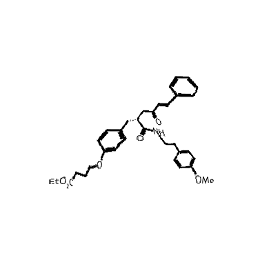 CCOC(=O)CCCOc1ccc(C[C@H](CC(=O)/C=C/c2ccccc2)C(=O)NCCc2ccc(OC)cc2)cc1